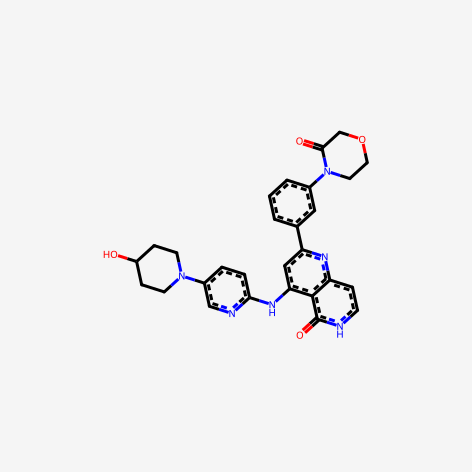 O=C1COCCN1c1cccc(-c2cc(Nc3ccc(N4CCC(O)CC4)cn3)c3c(=O)[nH]ccc3n2)c1